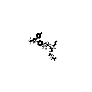 CC[C@@H](C)[C@@H](COC(=O)NS(=O)(=O)c1ccc(-n2nc(C(F)(F)F)cc2-c2ccc(C)cc2)cc1)N(C)/[N+]([O-])=N/OC(C)OC(=O)C(C)C